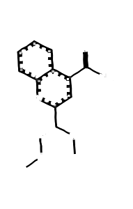 COC[C@@H](OC)c1cc(C(N)=O)c2ccccc2n1